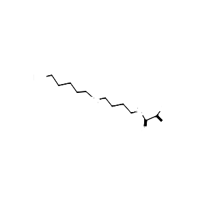 C=C(C)C(=O)NCCCCNCCCCCC